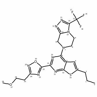 CCCc1cc2c(N3CCn4c(nnc4C(F)(F)F)C3)nc(-c3nc(CCOC)no3)nc2s1